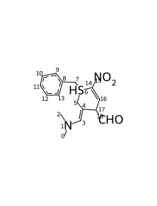 CN(C)C=C1C[SH](Cc2ccccc2)C([N+](=O)[O-])=CC1C=O